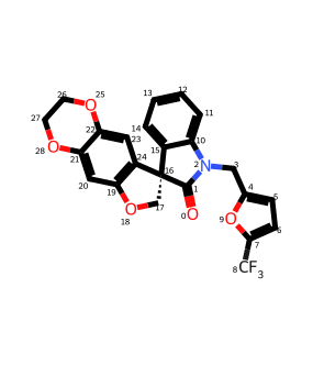 O=C1N(Cc2ccc(C(F)(F)F)o2)c2ccccc2[C@@]12COc1cc3c(cc12)OCCO3